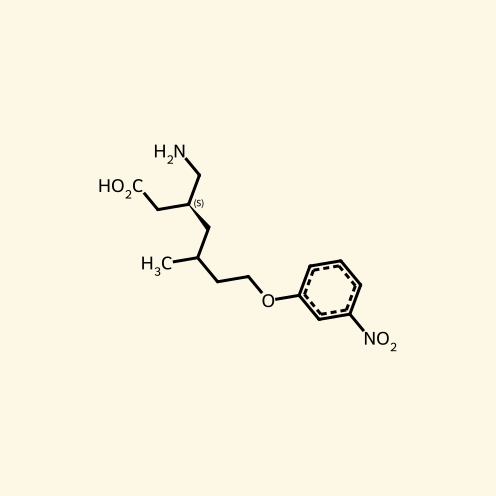 CC(CCOc1cccc([N+](=O)[O-])c1)C[C@H](CN)CC(=O)O